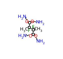 Cc1cc(-c2cc(OCCCN)cc(OCCCN)c2)cc(-c2cc(-c3cc(OCCCN)cc(OCCCN)c3)cc(C)c2F)c1F